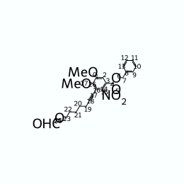 COc1cc(C(=O)OCc2ccccc2)c([N+](=O)[O-])c(C#CCCCCCOC=O)c1OC